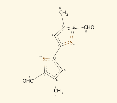 Cc1cc(-c2cc(C)c(C=O)s2)sc1C=O